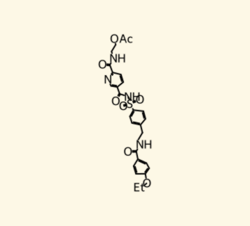 CCOc1ccc(C(=O)NCCc2ccc(S(=O)(=O)NC(=O)c3ccc(C(=O)NCCOC(C)=O)nc3)cc2)cc1